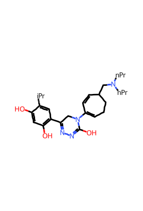 CCCN(CCC)CC1C=CC(N2CC(c3cc(C(C)C)c(O)cc3O)=NN=C2O)=CCC1